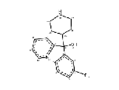 OC(c1cccc(F)c1)(c1ccccn1)C1CCNCC1